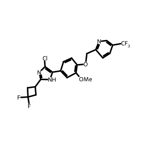 COc1cc(-c2[nH]c(C3CC(F)(F)C3)nc2Cl)ccc1OCc1ccc(C(F)(F)F)cn1